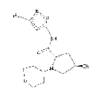 CC(C)(C)c1cc(NC(=O)[C@@H]2C[C@@H](O)CN2C2CCOCC2)on1